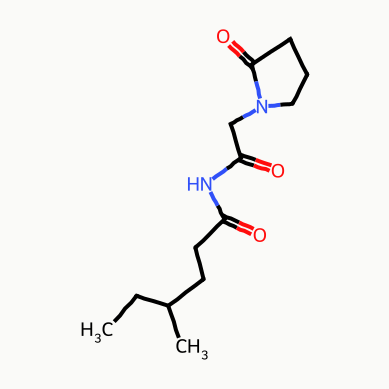 CCC(C)CCC(=O)NC(=O)CN1CCCC1=O